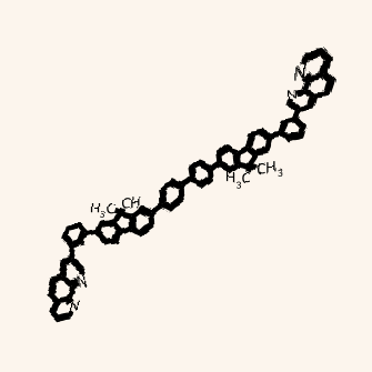 CC1(C)c2cc(-c3ccc(-c4ccc(-c5ccc6c(c5)C(C)(C)c5cc(-c7cccc(-c8cnc9c(ccc%10cccnc%109)c8)c7)ccc5-6)cc4)cc3)ccc2-c2ccc(-c3cccc(-c4cnc5c(ccc6cccnc65)c4)c3)cc21